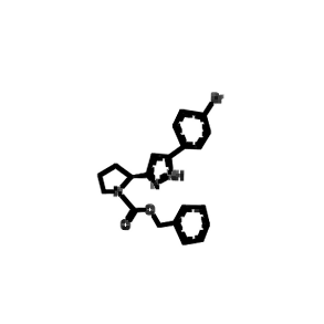 O=C(OCc1ccccc1)N1CCC[C@H]1c1cc(-c2ccc(Br)cc2)[nH]n1